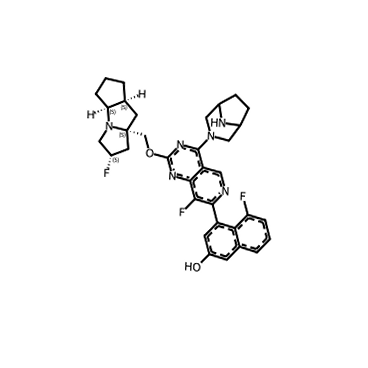 Oc1cc(-c2ncc3c(N4CC5CCC(C4)N5)nc(OC[C@]45C[C@H](F)CN4[C@H]4CCC[C@H]4C5)nc3c2F)c2c(F)cccc2c1